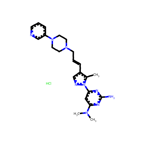 Cc1c(C=CCN2CCN(c3cccnc3)CC2)cnn1-c1cc(N(C)C)nc(N)n1.Cl